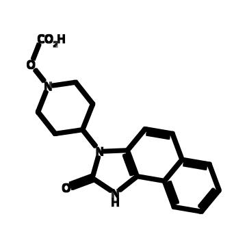 O=C(O)ON1CCC(n2c(=O)[nH]c3c4ccccc4ccc32)CC1